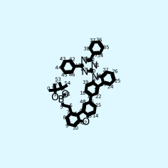 CC1(C)OB(CCc2cccc3oc4ccc(-c5ccc6c(c5)c5ccccc5n6-c5nc(-c6ccccc6)nc(-c6ccccc6)n5)cc4c23)OC1(C)C